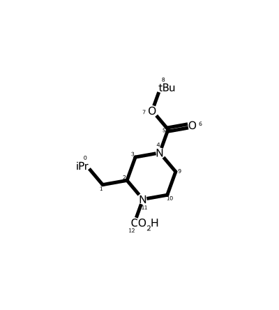 CC(C)CC1CN(C(=O)OC(C)(C)C)CCN1C(=O)O